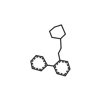 c1ccc(-c2ccccc2CCC2CCCCC2)cc1